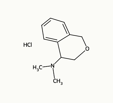 CN(C)C1COCc2ccccc21.Cl